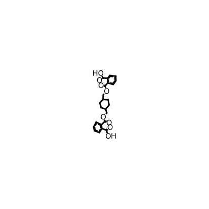 O=C(O)c1ccccc1C(=O)OCC1CCC(COC(=O)c2ccccc2C(=O)O)CC1